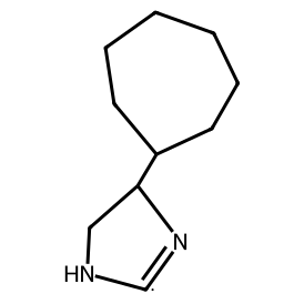 [C]1=NC(C2CCCCCC2)CN1